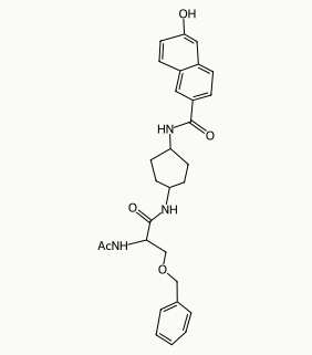 CC(=O)NC(COCc1ccccc1)C(=O)NC1CCC(NC(=O)c2ccc3cc(O)ccc3c2)CC1